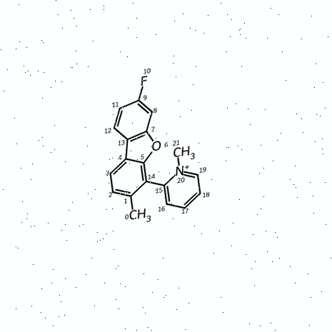 Cc1ccc2c(oc3cc(F)ccc32)c1-c1cccc[n+]1C